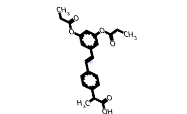 CCC(=O)Oc1cc(/C=C/c2ccc(C(C)C(=O)O)cc2)cc(OC(=O)CC)c1